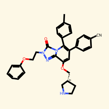 Cc1ccc(-c2c(-c3ccc(C#N)cc3)cc(OC[C@@H]3CCNC3)c3nn(CCOc4ccccc4)c(=O)n23)cc1